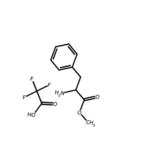 COC(=O)C(N)Cc1ccccc1.O=C(O)C(F)(F)F